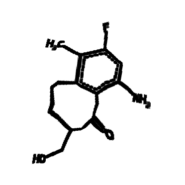 Cc1c(F)cc(N)c2c1CCC(CO)C2=O